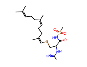 CC(=N)NC(CSC=C(C)CCC=C(C)CCC=C(C)C)C(=O)NS(C)(=O)=O